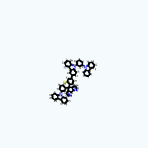 c1cc(-n2c3ccccc3c3ccccc32)cc(-n2c3ccccc3c3cc(-c4ccc5c(c4)Sc4ccc(-n6c7ccccc7c7ccccc76)cc4C54c5cccnc5-c5ncccc54)ccc32)c1